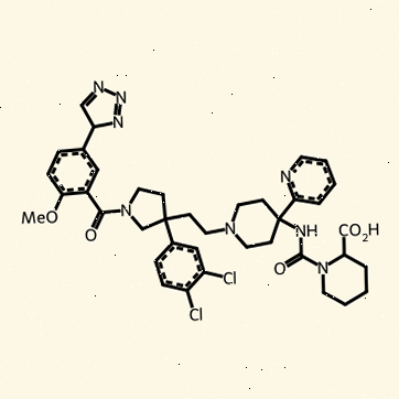 COc1ccc(C2C=NN=N2)cc1C(=O)N1CCC(CCN2CCC(NC(=O)N3CCCCC3C(=O)O)(c3ccccn3)CC2)(c2ccc(Cl)c(Cl)c2)C1